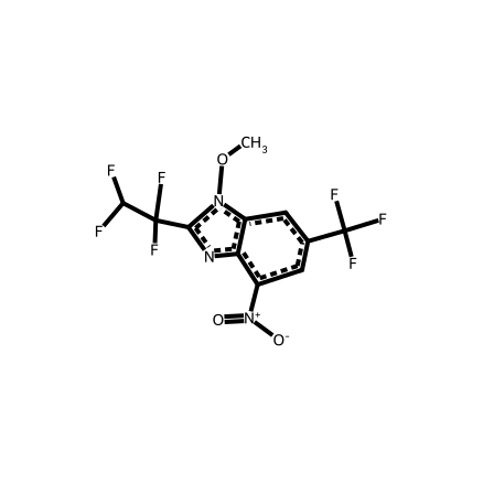 COn1c(C(F)(F)C(F)F)nc2c([N+](=O)[O-])cc(C(F)(F)F)cc21